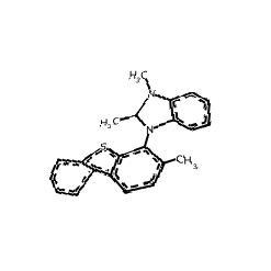 Cc1ccc2c(sc3ccccc32)c1N1c2ccccc2N(C)[C@@H]1C